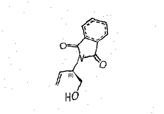 C=C[C@H](CO)N1C(=O)c2ccccc2C1=O